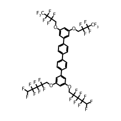 FC(F)C(F)(F)C(F)(F)C(F)(F)COc1cc(OCC(F)(F)C(F)(F)C(F)(F)C(F)F)cc(-c2ccc(-c3ccc(-c4cc(OCC(F)(F)C(F)(F)C(F)(F)F)cc(OCC(F)(F)C(F)(F)C(F)(F)F)c4)cc3)cc2)c1